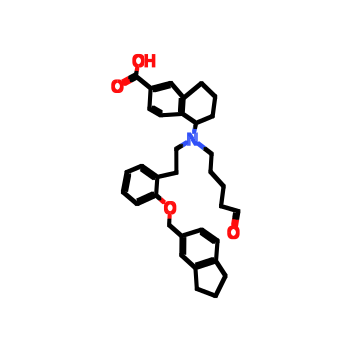 O=CCCCCN(CCc1ccccc1OCc1ccc2c(c1)CCC2)C1CCCc2cc(C(=O)O)ccc21